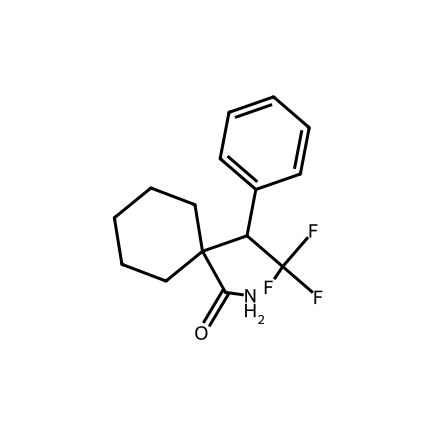 NC(=O)C1(C(c2ccccc2)C(F)(F)F)CCCCC1